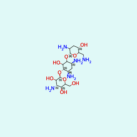 NCC1O[C@H](OC2C(O)[C@@H](O[C@H]3OC(CO)[C@@H](O)[C@H](N)C3O)[C@H](N)C[C@@H]2N)C(N)C[C@@H]1O